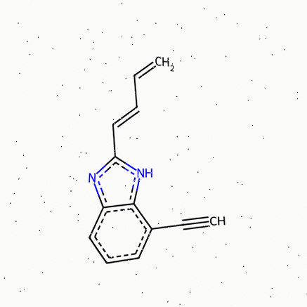 C#Cc1cccc2nc(C=CC=C)[nH]c12